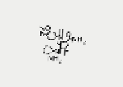 Cc1nc2ccc(Nc3nc(NC4CCCCC4N)c(F)cc3C(N)=O)cc2o1